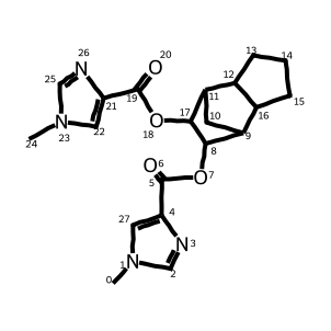 Cn1cnc(C(=O)OC2C3CC(C4CCCC43)C2OC(=O)c2cn(C)cn2)c1